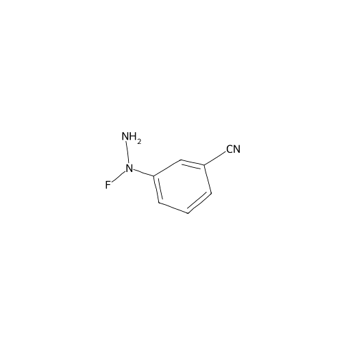 N#Cc1cccc(N(N)F)c1